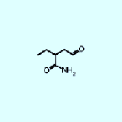 CCC(CC=O)C(N)=O